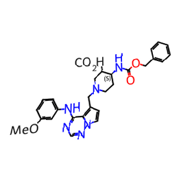 COc1cccc(Nc2ncnn3ccc(CN4CC[C@H](NC(=O)OCc5ccccc5)C(C(=O)O)C4)c23)c1